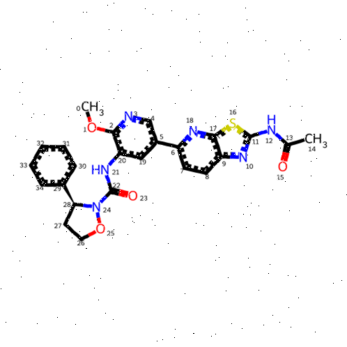 COc1ncc(-c2ccc3nc(NC(C)=O)sc3n2)cc1NC(=O)N1OCC[C@H]1c1ccccc1